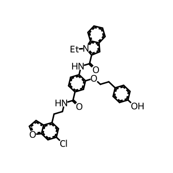 CCn1c(C(=O)Nc2ccc(C(=O)NCCc3cc(Cl)cc4occc34)cc2OCCc2ccc(O)cc2)cc2ccccc21